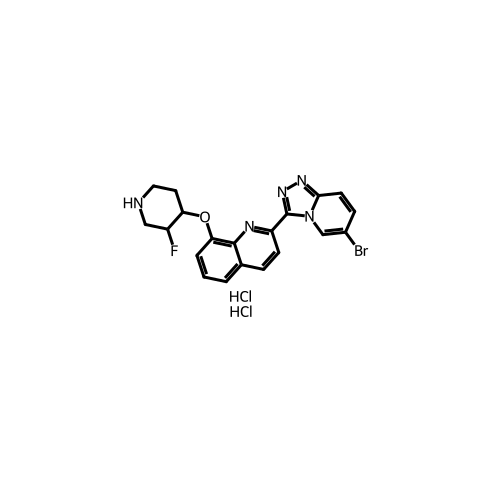 Cl.Cl.FC1CNCCC1Oc1cccc2ccc(-c3nnc4ccc(Br)cn34)nc12